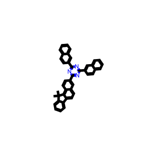 CC1(C)c2ccccc2-c2ccc3cc(-c4nc(-c5ccc6ccccc6c5)nc(-c5ccc6ccccc6c5)n4)ccc3c21